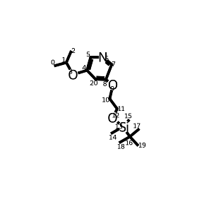 CC(C)Oc1cncc(OCCO[Si](C)(C)C(C)(C)C)c1